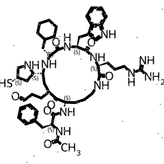 CC(=O)N[C@@H](Cc1ccccc1)C(=O)N[C@H]1CCCNC(=O)[C@H](CCCNC(=N)N)NC(=O)[C@H](Cc2c[nH]c3ccccc23)NC(=O)[C@@H](CC2CCCCC2)NC([C@@H]2C[C@H](S)CN2)CC(CCC=O)C1=O